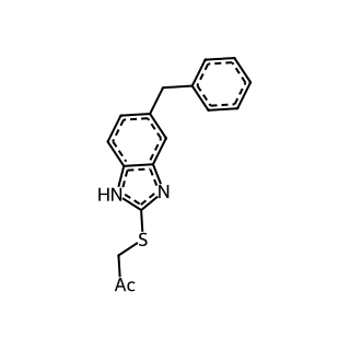 CC(=O)CSc1nc2cc(Cc3ccccc3)ccc2[nH]1